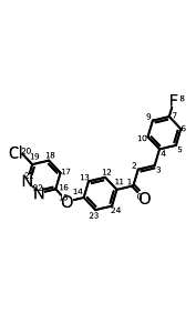 O=C(C=Cc1ccc(F)cc1)c1ccc(Oc2ccc(Cl)nn2)cc1